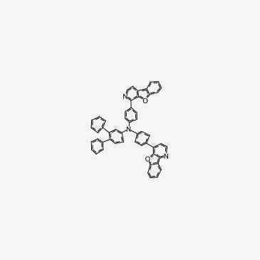 c1ccc(-c2ccc(N(c3ccc(-c4nccc5c4oc4ccccc45)cc3)c3ccc(-c4ccnc5c4oc4ccccc45)cc3)cc2-c2ccccc2)cc1